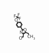 CCc1oc(-c2ccc(OC(F)(F)F)cc2)nc1C=O